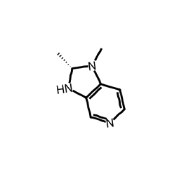 C[C@H]1Nc2cnccc2N1C